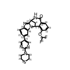 O=C1NC2CC(c3c(OC(F)F)cccc31)n1c2nc2ccc(-c3cnc(N4CCSCC4)nc3)cc21